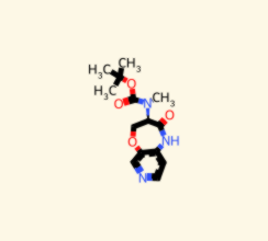 CN(C(=O)OC(C)(C)C)[C@@H]1COc2cnccc2NC1=O